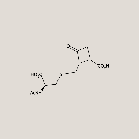 CC(=O)N[C@H](CSCC1C(=O)CC1C(=O)O)C(=O)O